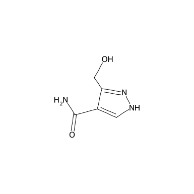 NC(=O)c1c[nH]nc1CO